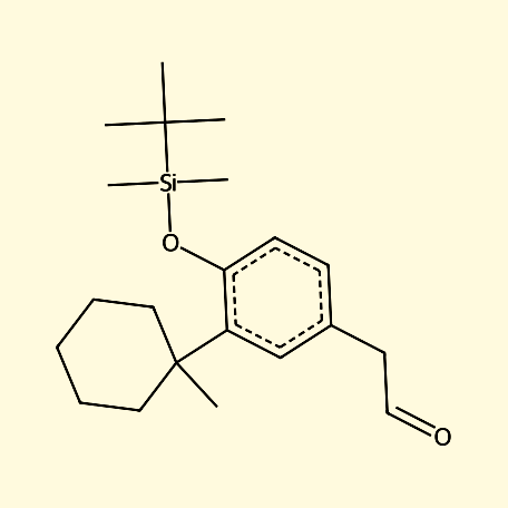 CC1(c2cc(CC=O)ccc2O[Si](C)(C)C(C)(C)C)CCCCC1